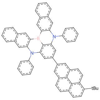 CC(C)(C)c1ccc2ccc3cc(-c4cc5c6c(c4)N(c4ccccc4)c4cc7ccccc7cc4B6c4cc6ccccc6cc4N5c4ccccc4)cc4ccc1c2c34